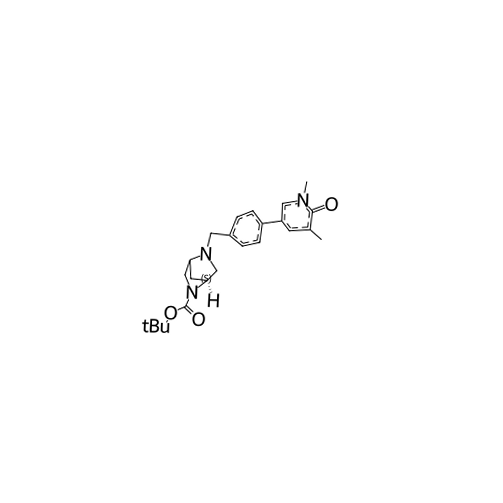 Cc1cc(-c2ccc(CN3C[C@@H]4CC3CN4C(=O)OC(C)(C)C)cc2)cn(C)c1=O